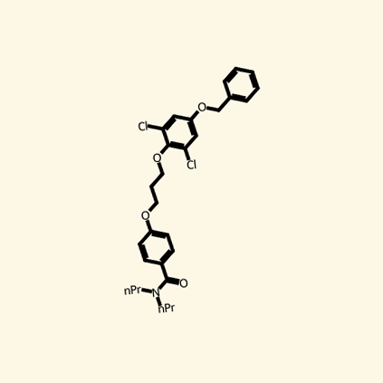 CCCN(CCC)C(=O)c1ccc(OCCCOc2c(Cl)cc(OCc3ccccc3)cc2Cl)cc1